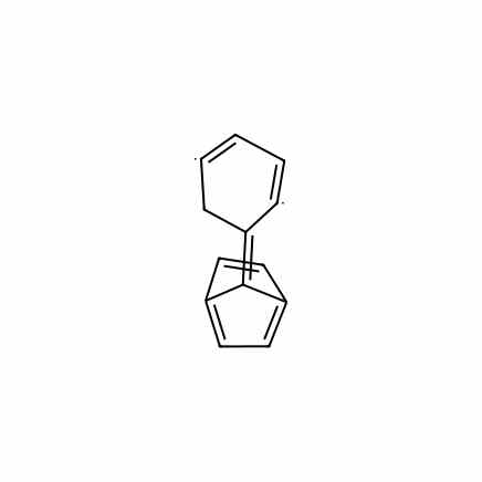 [C]1=CC=[C]C(=C2C3=CC=C2C=C3)C1